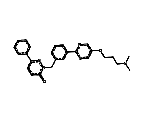 CN(C)CCCOc1cnc(-c2cccc(Cn3nc(-c4ccccc4)ccc3=O)c2)nc1